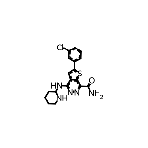 NC(=O)c1nnc(NC2CCCCN2)c2cc(-c3cccc(Cl)c3)sc12